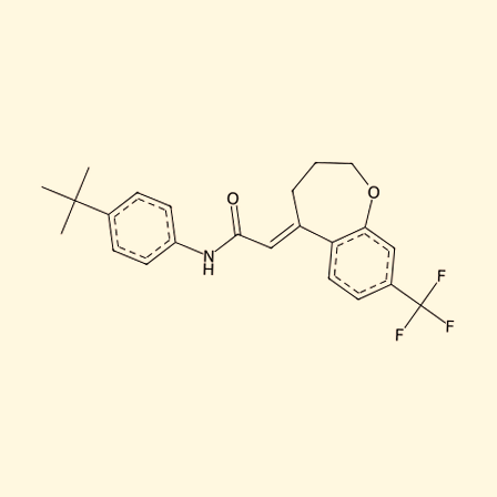 CC(C)(C)c1ccc(NC(=O)C=C2CCCOc3cc(C(F)(F)F)ccc32)cc1